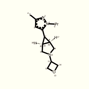 CC(C)n1nc(I)cc1C1[C@H]2CN(C3COC3)C[C@@H]12